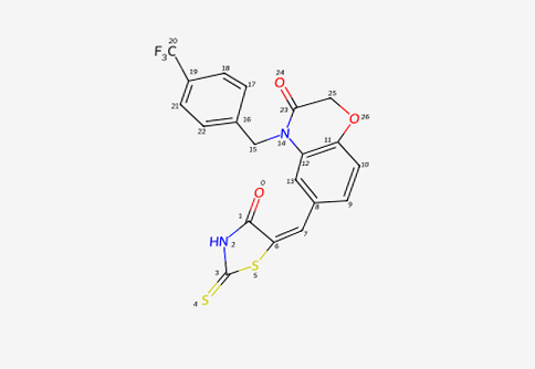 O=C1NC(=S)SC1=Cc1ccc2c(c1)N(Cc1ccc(C(F)(F)F)cc1)C(=O)CO2